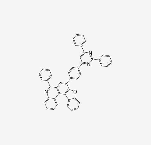 c1ccc(-c2cc(-c3ccc(-c4cc5c(-c6ccccc6)nc6ccccc6c5c5c4oc4ccccc45)cc3)nc(-c3ccccc3)n2)cc1